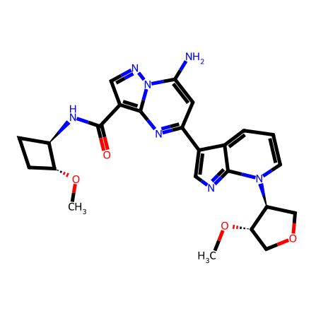 CO[C@H]1COC[C@@H]1n1cccc2c(-c3cc(N)n4ncc(C(=O)N[C@@H]5CC[C@H]5OC)c4n3)cnc1-2